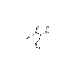 C=CCC(NC(C)C)C(=O)C(C)C